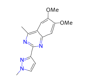 COc1cc2nc(-c3ccn(C)n3)nc(C)c2cc1OC